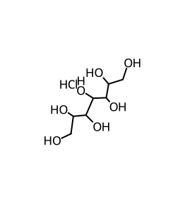 Cl.OCC(O)C(O)C(O)C(O)C(O)CO